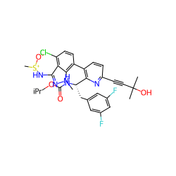 CC(C)OC(=O)N[C@@H](Cc1cc(F)cc(F)c1)c1nc(C#CC(C)(C)O)ccc1-c1ccc(Cl)c2c(N[S+](C)[O-])nn(C)c12